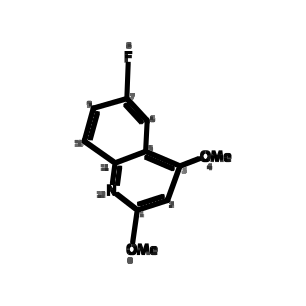 COc1cc(OC)c2cc(F)ccc2n1